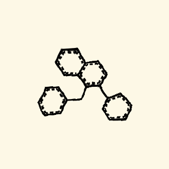 c1ccc(Cc2c(-c3ccccc3)ccc3ccccc23)cc1